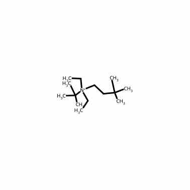 CC[N+](CC)(CCC(C)(C)C)C(C)(C)C